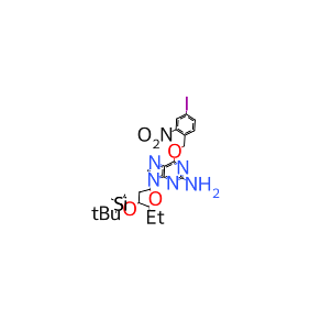 CC[C@H]1O[C@@H](n2cnc3c(OCc4ccc(I)cc4[N+](=O)[O-])nc(N)nc32)C[C@H]1O[Si](C)(C)C(C)(C)C